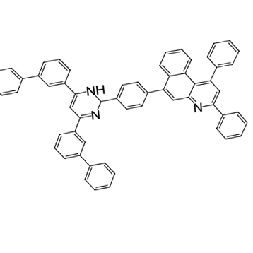 C1=C(c2cccc(-c3ccccc3)c2)NC(c2ccc(-c3cc4nc(-c5ccccc5)cc(-c5ccccc5)c4c4ccccc34)cc2)N=C1c1cccc(-c2ccccc2)c1